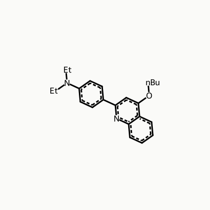 CCCCOc1cc(-c2ccc(N(CC)CC)cc2)nc2ccccc12